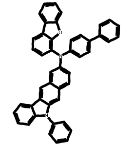 c1ccc(-c2ccc(N(c3ccc4cc5c(cc4c3)c3ccccc3n5-c3ccccc3)c3cccc4c3oc3ccccc34)cc2)cc1